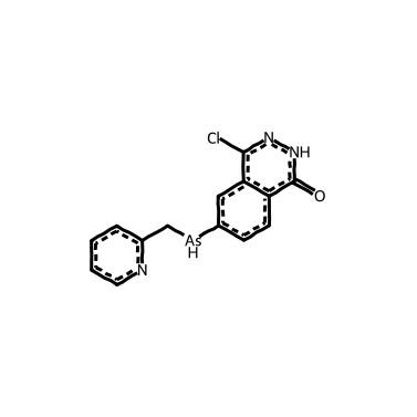 O=c1[nH]nc(Cl)c2cc([AsH]Cc3ccccn3)ccc12